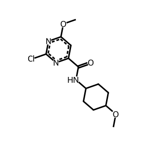 COc1cc(C(=O)NC2CCC(OC)CC2)nc(Cl)n1